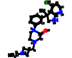 CCC1(c2cccc(N3CCN(CC4CN(C(=O)O)C4)CC3=O)c2)CNc2nccc(Cl)c21